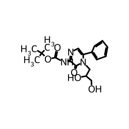 CC(C)(C)OC(=O)Nc1ncc(-c2ccccc2)n(CC(O)CO)c1=O